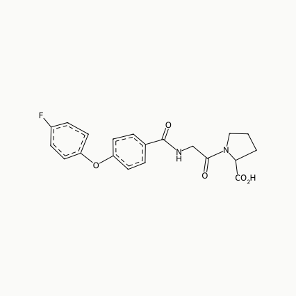 O=C(NCC(=O)N1CCCC1C(=O)O)c1ccc(Oc2ccc(F)cc2)cc1